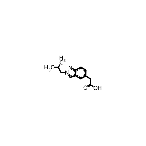 CC(C)Cn1cc2cc(CC(=O)O)ccc2n1